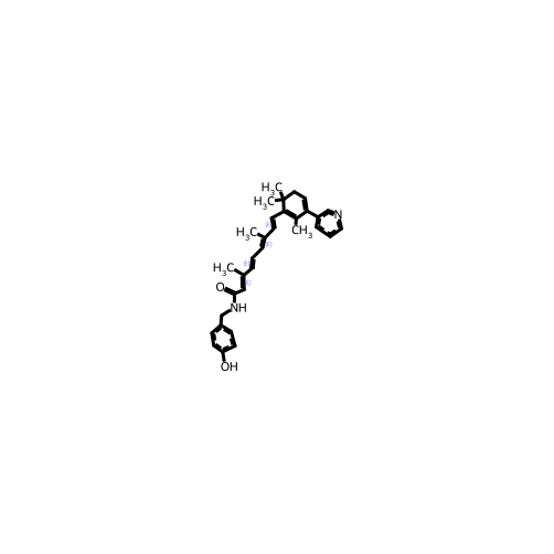 CC1=C(/C=C/C(C)=C/C=C/C(C)=C/C(=O)NCc2ccc(O)cc2)C(C)(C)CC=C1c1cccnc1